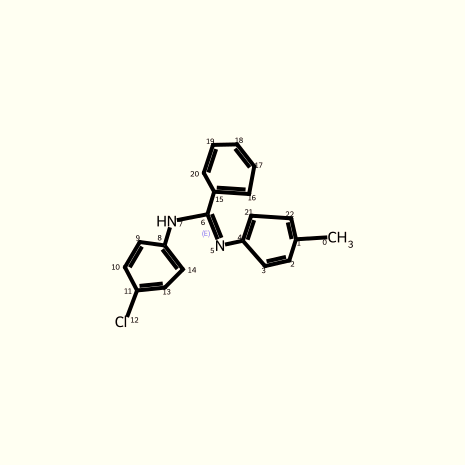 Cc1ccc(/N=C(/Nc2ccc(Cl)cc2)c2ccccc2)cc1